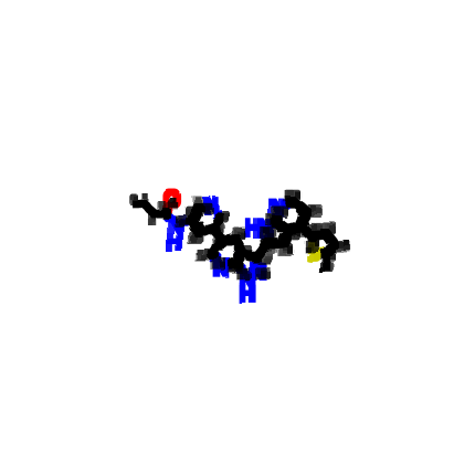 CCCC(=O)Nc1cncc(-c2cnc3[nH]nc(-c4cc5c(-c6ccc(C)s6)ccnc5[nH]4)c3c2)c1